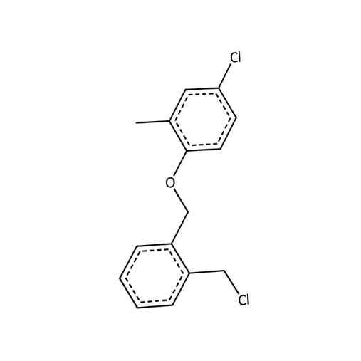 Cc1cc(Cl)ccc1OCc1ccccc1CCl